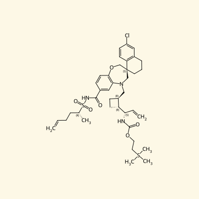 C=CCC[C@@H](C)S(=O)(=O)NC(=O)c1ccc2c(c1)N(C[C@@H]1CC[C@H]1[C@H](C=C)NC(=O)OCCS(C)(C)C)C[C@@]1(CCCc3cc(Cl)ccc31)CO2